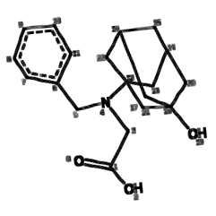 O=C(O)CN(Cc1ccccc1)C12CC3CC(CC(O)(C3)C1)C2